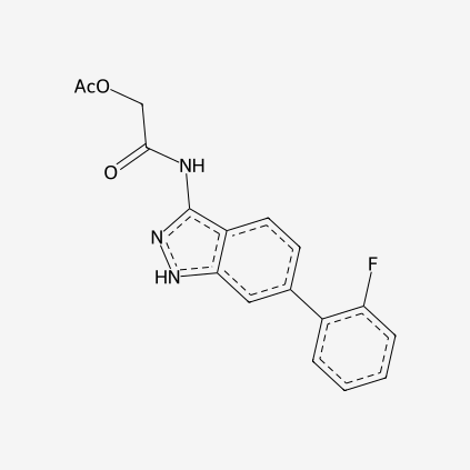 CC(=O)OCC(=O)Nc1n[nH]c2cc(-c3ccccc3F)ccc12